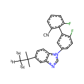 [2H]C([2H])([2H])C(C)(C)c1ccc2c(c1)ncn2-c1ccc(F)c(-c2c(F)cccc2[N+]#[C-])c1